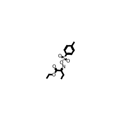 CCOC(=O)/C(CC)=N\OS(=O)(=O)c1ccc(C)cc1